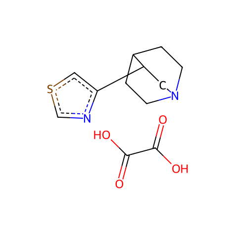 O=C(O)C(=O)O.c1nc(C2CN3CCC2CC3)cs1